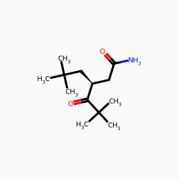 CC(C)(C)C[C@@H](CC(N)=O)C(=O)C(C)(C)C